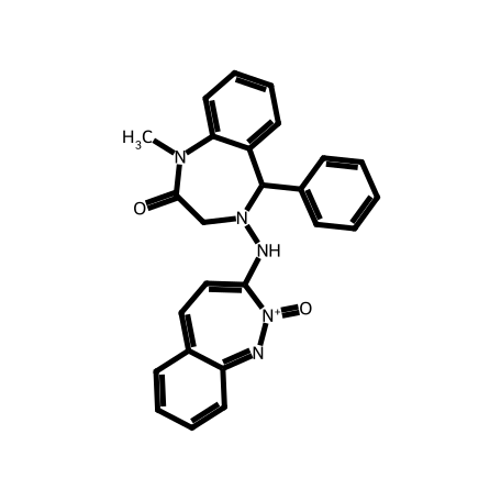 CN1C(=O)CN(Nc2ccc3ccccc3n[n+]2=O)C(c2ccccc2)c2ccccc21